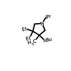 CCCCC1(C)CN(C(C)C)CC1(CC)CC